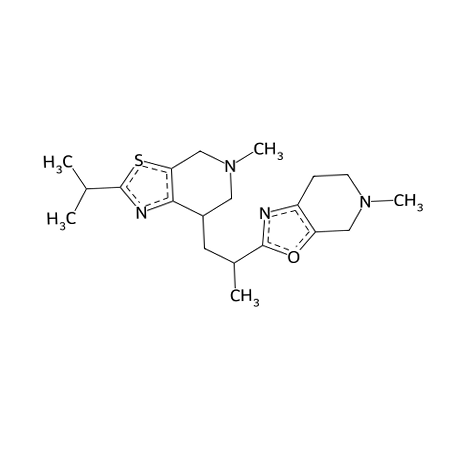 CC(C)c1nc2c(s1)CN(C)CC2CC(C)c1nc2c(o1)CN(C)CC2